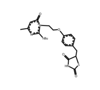 CCCCc1nc(C)cc(=O)n1CCOc1ccc(CC2SC(=O)NC2=O)cc1